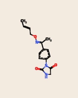 C/C=C/CON=C(C)c1ccc(N2C(=O)CNC2=O)cc1